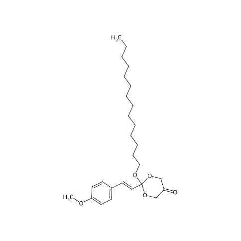 CCCCCCCCCCCCCCOC1(C=Cc2ccc(OC)cc2)OCC(=O)CO1